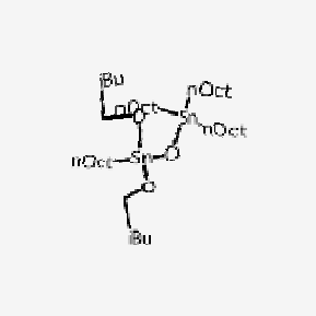 CCCCCCC[CH2][Sn]([CH2]CCCCCCC)([CH2]CCCCCCC)[O][Sn]([CH2]CCCCCCC)([O]CC(C)CC)[O]CC(C)CC